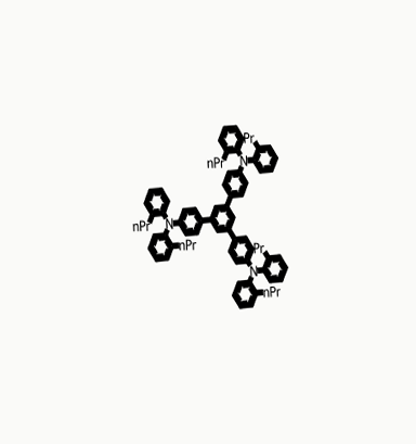 CCCc1ccccc1N(c1ccc(-c2cc(-c3ccc(N(c4ccccc4CCC)c4ccccc4CCC)cc3)cc(-c3ccc(N(c4ccccc4CCC)c4ccccc4CCC)cc3)c2)cc1)c1ccccc1CCC